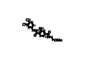 COCCNC(=O)c1ccc(C(=O)NCc2ccc(Cl)c(Cl)c2)c(N)c1